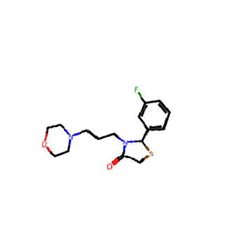 O=C1CSC(c2cccc(F)c2)N1CCCN1CCOCC1